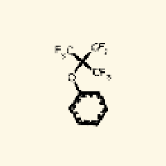 FC(F)(F)C(Oc1ccccc1)(C(F)(F)F)C(F)(F)F